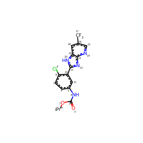 CC(C)OC(=O)Nc1ccc(Cl)c(-c2nc3ncc(C(F)(F)F)cc3[nH]2)c1